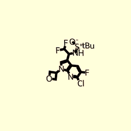 CC(C)(C)[S@+]([O-])NC(c1cn(C2COC2)c2nc(Cl)c(F)cc12)C(F)F